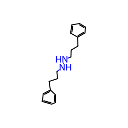 c1ccc(CCCNNCCCc2ccccc2)cc1